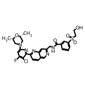 C[C@@H]1CN(c2cc(F)c(Cl)c(-c3ccc4cnc(CNC(=O)c5cccc(S(=O)(=O)CCO)c5)cc4n3)n2)C[C@H](C)O1